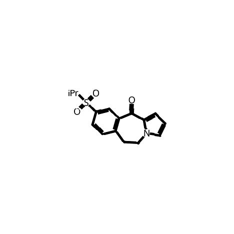 CC(C)S(=O)(=O)c1ccc2c(c1)C(=O)c1cccn1CC2